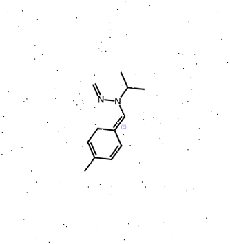 C=NN(/C=C1/C=CC(C)=CC1)C(C)C